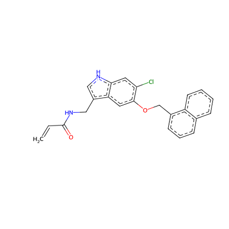 C=CC(=O)NCc1c[nH]c2cc(Cl)c(OCc3cccc4ccccc34)cc12